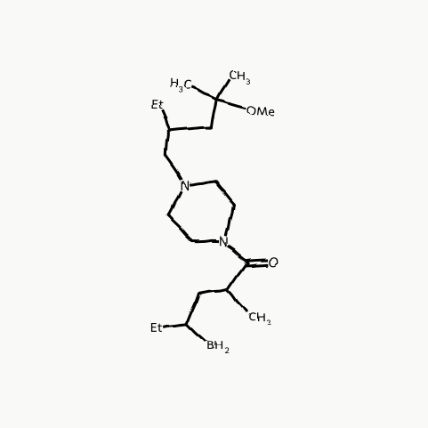 BC(CC)CC(C)C(=O)N1CCN(CC(CC)CC(C)(C)OC)CC1